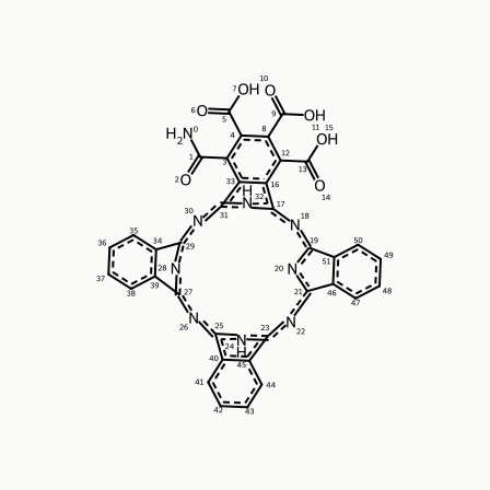 NC(=O)c1c(C(=O)O)c(C(=O)O)c(C(=O)O)c2c3nc4nc(nc5[nH]c(nc6nc(nc([nH]3)c12)-c1ccccc1-6)c1ccccc51)-c1ccccc1-4